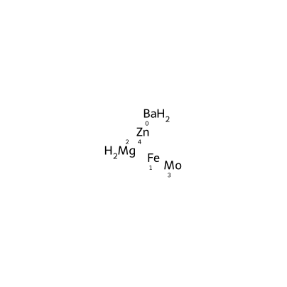 [BaH2].[Fe].[MgH2].[Mo].[Zn]